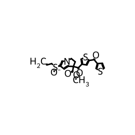 C=CC[S+]([O-])c1cc2n(c1)CCC2(C(=O)OC)C(=O)c1csc(C(=O)c2ccsc2)c1